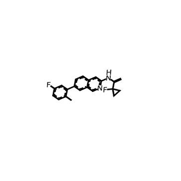 C=C(Nc1cc2ccc(-c3cc(F)ccc3C)cc2cn1)C1(F)CC1